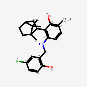 CC1(C)C2CCC1(C)C(c1c(NCc3cc(Br)ccc3O)ccc(C(=O)O)c1O)C2